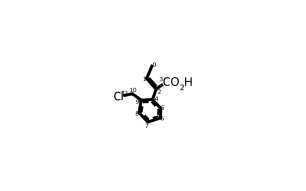 CC=C(C(=O)O)c1ccccc1CCl